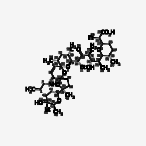 C=CCN[C@@H]1C=C[C@]2(O[C@H]([C@@H](CC)C(=O)[C@@H](C)[C@@H](O)[C@H](C)C3OC(C(CC)C(=O)O)CC[C@@H]3C)[C@@H](C)C[C@H]2C)O[C@@]12CC[C@@](C)([C@H]1CC[C@](O)(CC)[C@H](C)O1)O2